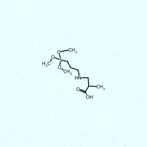 CO[Si](CCCNCC(C)C(=O)O)(OC)OC